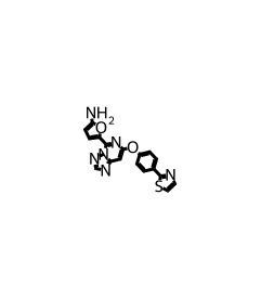 Nc1ccc(-c2nc(Oc3ccc(-c4nccs4)cc3)cc3ncnn23)o1